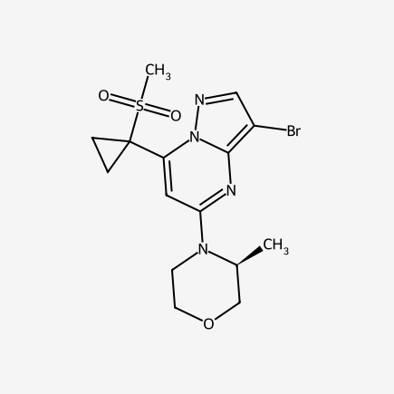 C[C@H]1COCCN1c1cc(C2(S(C)(=O)=O)CC2)n2ncc(Br)c2n1